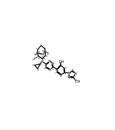 C[C@]12CCC[C@](C)(N1)[C@H](F)[C@H](N(c1cnc(-c3ccc(-n4cnc(C#N)n4)cc3O)nn1)C1CC1)C2